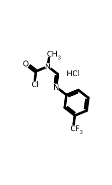 CN(C=Nc1cccc(C(F)(F)F)c1)C(=O)Cl.Cl